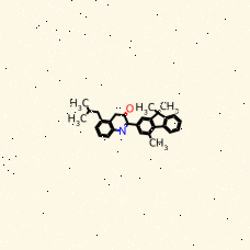 Cc1cc(C2=Nc3cccc(CC(C)C)c3CC2=O)cc2c1-c1ccccc1C2(C)C